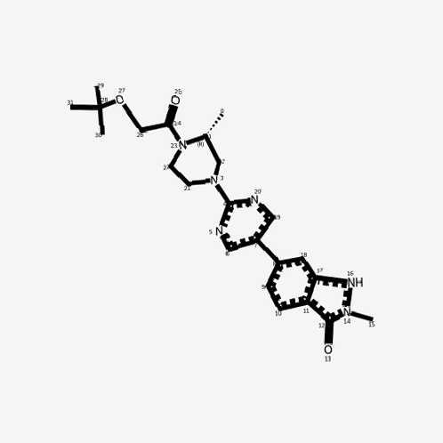 C[C@@H]1CN(c2ncc(-c3ccc4c(=O)n(C)[nH]c4c3)cn2)CCN1C(=O)COC(C)(C)C